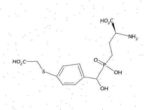 N[C@@H](CCP(=O)(O)C(O)c1ccc(SCC(=O)O)cc1)C(=O)O